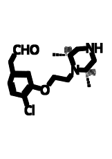 C[C@@H]1CNC[C@H](C)N1CCOc1cc(CC=O)ccc1Cl